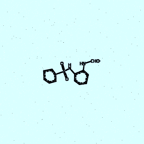 O=[C]Nc1ccccc1NS(=O)(=O)c1ccccc1